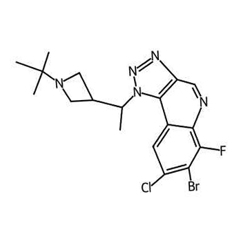 CC(C1CN(C(C)(C)C)C1)n1nnc2cnc3c(F)c(Br)c(Cl)cc3c21